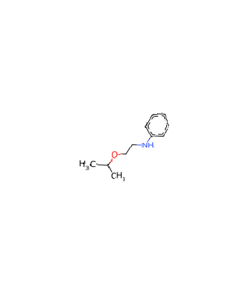 CC(C)OCCNc1ccccc1